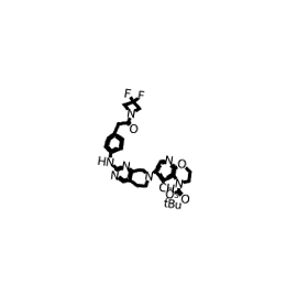 Cc1c(N2CCc3cnc(Nc4ccc(CC(=O)N5CC(F)(F)C5)cc4)nc3C2)cnc2c1N(C(=O)OC(C)(C)C)CCO2